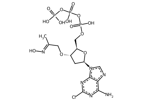 CC(CO[C@H]1C[C@H](n2cnc3c(N)nc(Cl)nc32)O[C@@H]1COP(=O)(O)OP(=O)(O)OP(=O)(O)O)=NO